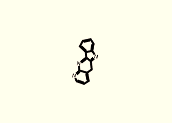 c1cnc2c(c1)CC1=Nc3ccccc3C1=N2